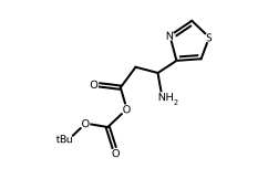 CC(C)(C)OC(=O)OC(=O)CC(N)c1cscn1